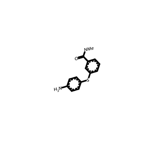 CNC(=O)c1cccc(Sc2ccc(N)cc2)c1